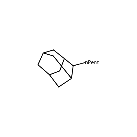 CCCCCC1[C]2CC3CC(C2)CC1C3